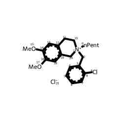 CCCCC[N+]1(Cc2ccccc2Cl)CCc2cc(OC)c(OC)cc2C1.[Cl-]